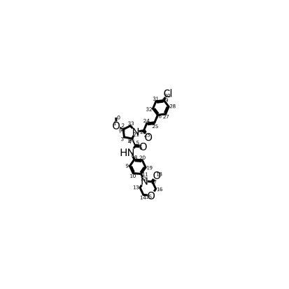 CO[C@@H]1C[C@H](C(=O)Nc2ccc(N3CCOCC3=O)cc2)N(C(=O)C=Cc2ccc(Cl)cc2)C1